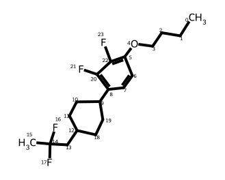 CCCCOc1ccc(C2CCC(CC(C)(F)F)CC2)c(F)c1F